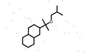 CC(C)COC(C)(C)C1CCC2CCCCC2C1